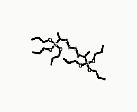 CCCO[Si](OCCC)(OCCC)C(C)SSSSC(C)[Si](OCCC)(OCCC)OCCC